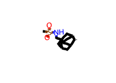 CS(=O)(=O)NCC12CC3[CH]C(CC(C3)C1)C2